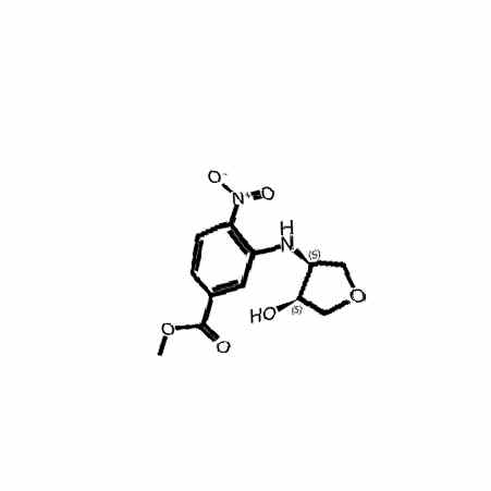 COC(=O)c1ccc([N+](=O)[O-])c(N[C@H]2COC[C@H]2O)c1